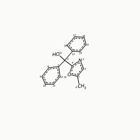 Cc1cnc(C(O)(c2ccccc2)c2ccccc2)o1